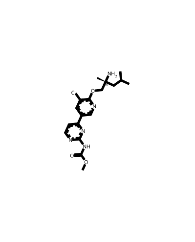 COC(=O)Nc1nccc(-c2cnc(OC[C@](C)(N)CC(C)C)c(Cl)c2)n1